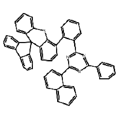 c1ccc(-c2nc(-c3ccccc3-c3cccc4c3Sc3ccccc3C43c4ccccc4-c4ccccc43)nc(-c3cccc4ccccc34)n2)cc1